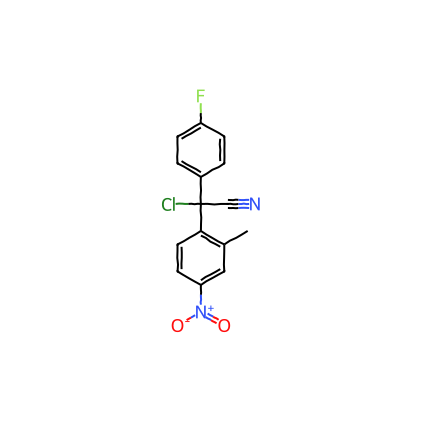 Cc1cc([N+](=O)[O-])ccc1C(Cl)(C#N)c1ccc(F)cc1